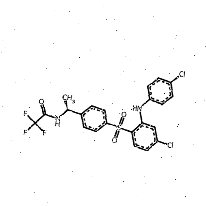 C[C@H](NC(=O)C(F)(F)F)c1ccc(S(=O)(=O)c2ccc(Cl)cc2Nc2ccc(Cl)cc2)cc1